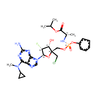 CC(C)OC(=O)[C@H](C)N[P@](=O)(OC[C@@]1(CCl)O[C@@H](n2cnc3c(N(C)C4CC4)nc(N)nc32)[C@H](F)[C@@H]1O)Oc1ccccc1